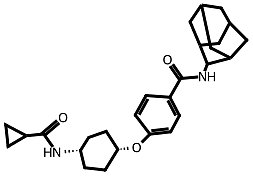 O=C(NC1C2CC3CC(C2)CC1C3)c1ccc(O[C@H]2CC[C@@H](NC(=O)C3CC3)CC2)cc1